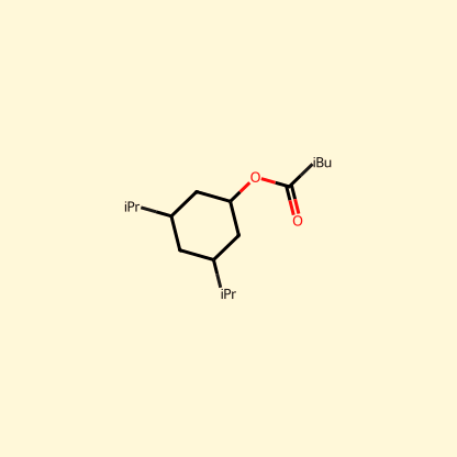 CCC(C)C(=O)OC1CC(C(C)C)CC(C(C)C)C1